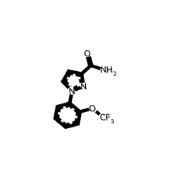 NC(=O)c1ccn(-c2ccccc2OC(F)(F)F)n1